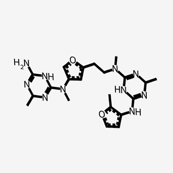 Cc1occc1NC1=NC(C)N=C(N(C)CCc2cc(N(C)C3=NC(C)N=C(N)N3)co2)N1